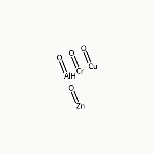 [O]=[AlH].[O]=[Cr].[O]=[Cu].[O]=[Zn]